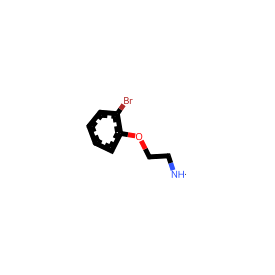 [NH]CCOc1ccccc1Br